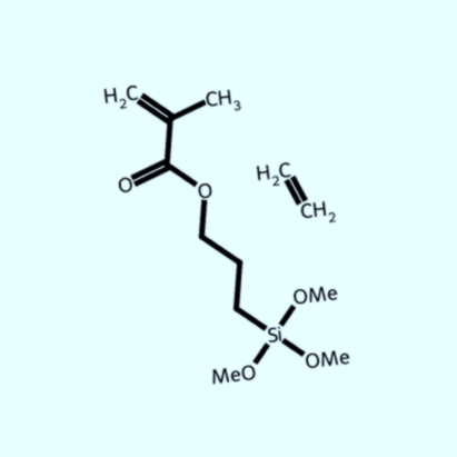 C=C.C=C(C)C(=O)OCCC[Si](OC)(OC)OC